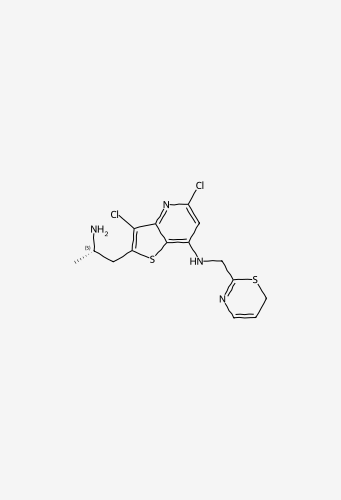 C[C@H](N)Cc1sc2c(NCC3=NC=CCS3)cc(Cl)nc2c1Cl